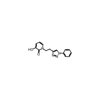 O=c1c(O)cccn1CCc1cn(-c2ccccc2)nn1